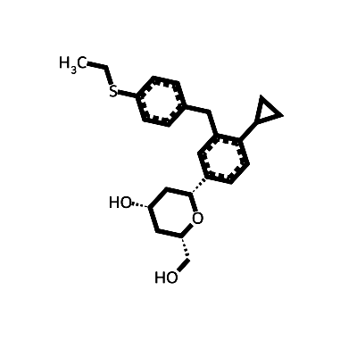 CCSc1ccc(Cc2cc([C@H]3C[C@@H](O)C[C@@H](CO)O3)ccc2C2CC2)cc1